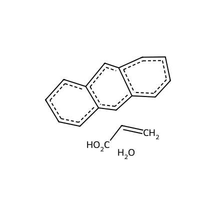 C=CC(=O)O.O.c1ccc2cc3ccccc3cc2c1